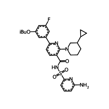 CC(C)COc1cc(F)cc(-c2ccc(C(=O)NS(=O)(=O)c3cccc(N)n3)c(N3CCCC(C4CC4)C3)n2)c1